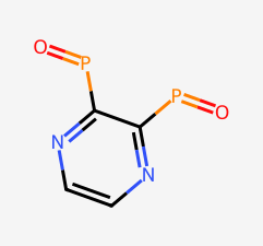 O=Pc1nccnc1P=O